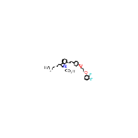 O=C(O)CCCc1cn(CC(=O)O)c2c(C=Cc3ccc(OCCCOc4cccc(F)c4F)cc3)cccc12